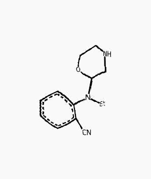 CCN(c1ccccc1C#N)C1CNCCO1